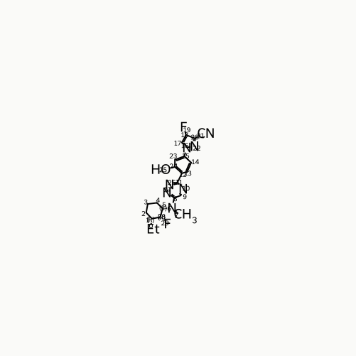 CC[C@@H]1CCC[C@H](N(C)c2cnc(-c3ccc(-n4cc(F)c(C#N)n4)cc3O)nn2)[C@@H]1F